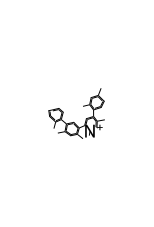 Cc1ccc(-c2cc(-c3cc(-c4ccccc4C)c(C)cc3C)[n+](C)cc2C)c(C)c1